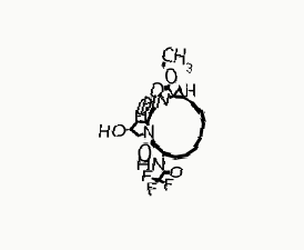 CCOC(=O)[C@@]12C[C@H]1/C=C\CCCCC[C@H](NC(=O)C(F)(F)F)C(=O)N1C[C@H](O)C[C@H]1C(=O)N2